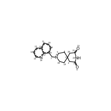 O=C1CC2(CCN(Cc3cccc4cccnc34)CC2)CC(=O)N1